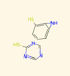 Sc1cccc2c1N2.Sc1ncncn1